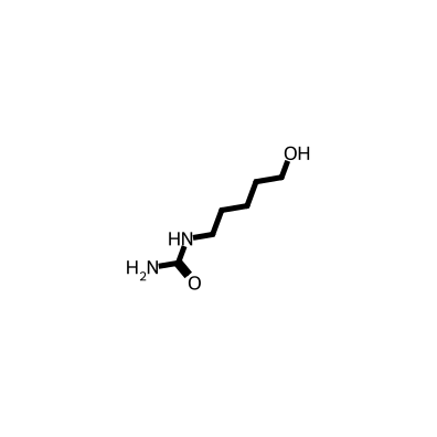 NC(=O)NCCCCCO